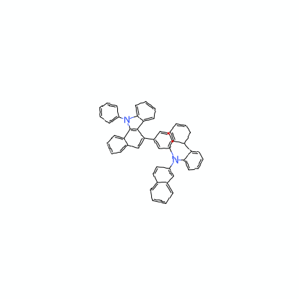 C1=CCC(c2ccccc2N(c2cccc(-c3cc4ccccc4c4c3c3ccccc3n4-c3ccccc3)c2)c2ccc3ccccc3c2)C=C1